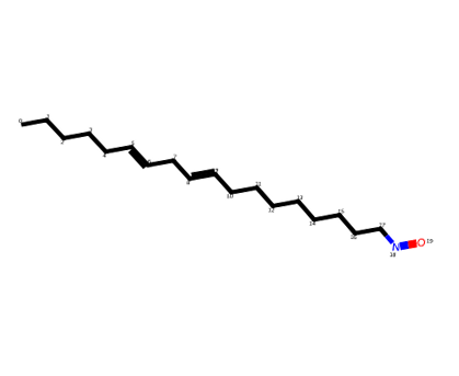 CCCCC/C=C/C/C=C/CCCCCCCCN=O